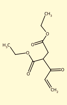 C=CC(=O)C(CC(=O)OCC)C(=O)OCC